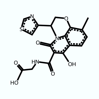 Cc1ccc2c(O)c(C(=O)NCC(=O)O)c(=O)n3c2c1OCC3c1cscn1